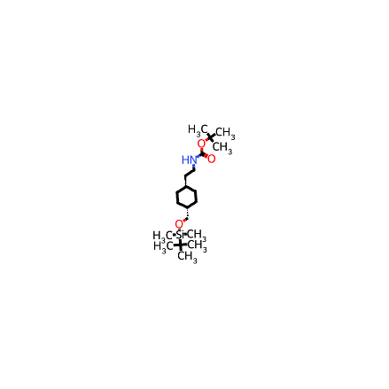 CC(C)(C)OC(=O)NCC[C@H]1CC[C@H](CO[Si](C)(C)C(C)(C)C)CC1